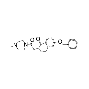 CN1CCN(C(=O)CC2CCc3cc(OCc4ccccc4)ccc3C2=O)CC1